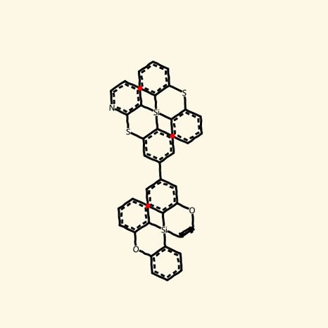 c1ccc2c(c1)Oc1ccccc1[Si]21c2ccccc2Oc2cc(-c3ccc4c(c3)Sc3ncccc3[Si]43c4ccccc4Sc4ccccc43)ccc21